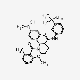 COc1cccc(C)c1C(=O)N1CCCC(C(=O)Nc2cccc(C(C)(C)C)c2)[C@@H]1c1ccc(N(C)C)cc1